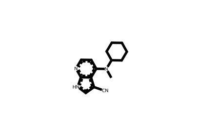 CN(c1ccnc2[nH]cc(C#N)c12)C1CCCCC1